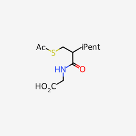 CCCC(C)C(CSC(C)=O)C(=O)NCC(=O)O